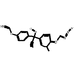 C#CC(N=O)(C1=CC(C)C(OCN=[N+]=[N-])C=C1)c1ccc(OC=N)cc1